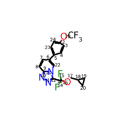 FC(F)(F)Oc1ccc(-c2ccc3nnc(C(F)(F)OCC4CC4)n3c2)cc1